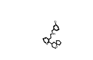 Clc1cccc(CNCCc2cccnc2C2CCOC3(CCCC3)C2)c1